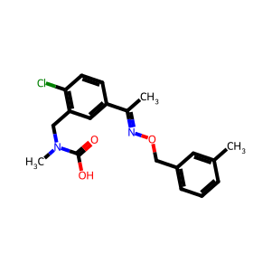 C/C(=N\OCc1cccc(C)c1)c1ccc(Cl)c(CN(C)C(=O)O)c1